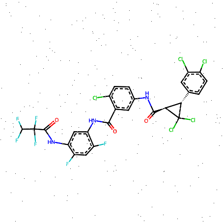 O=C(Nc1cc(NC(=O)C(F)(F)C(F)F)c(F)cc1F)c1cc(NC(=O)[C@H]2[C@H](c3ccc(Cl)c(Cl)c3)C2(Cl)Cl)ccc1Cl